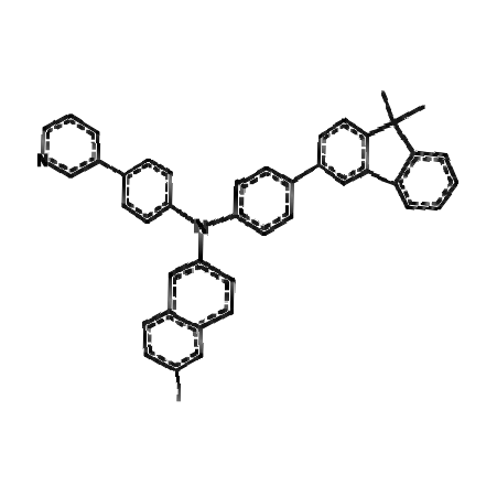 Cc1ccc2cc(N(c3ccc(-c4cccnc4)cc3)c3ccc(-c4ccc5c(c4)-c4ccccc4C5(C)C)cc3)ccc2c1